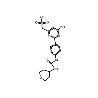 CS(=O)(=O)Cc1cc(N)nc(-c2ccc(NC(=O)NC3CCOCC3)cc2)n1